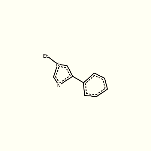 CCn1cnc(-c2ccccc2)c1